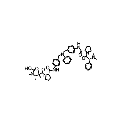 C[C@H](N(C)C(=O)O)C(C)(C)C(=O)N1CCC[C@H]1C(=O)Nc1ccc(CN(Cc2ccc(NC(=O)[C@@H]3CCCN3C(=O)[C@@H](c3ccccc3)N(C)C)cc2)c2ccccc2)cc1